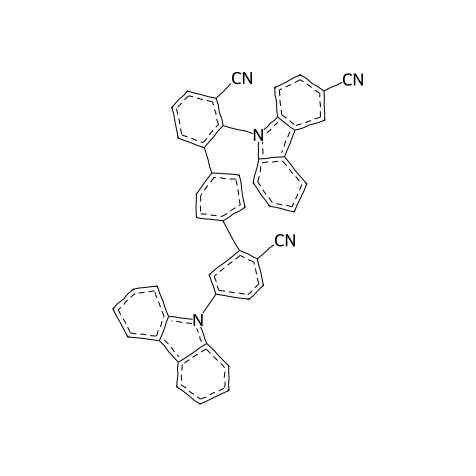 N#Cc1ccc2c(c1)c1ccccc1n2-c1c(C#N)cccc1-c1ccc(-c2cc(-n3c4ccccc4c4ccccc43)ccc2C#N)cc1